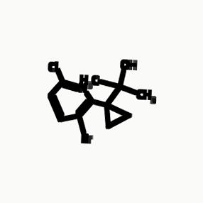 CC(C)(O)C1(c2nc(Cl)ccc2Br)CC1